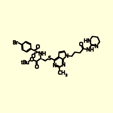 Cc1nc(SC[C@H](NS(=O)(=O)c2ccc(Br)cc2)C(=O)OC(C)(C)C)c2ccn(CCCC(=O)NC3=NCCCN3)c2n1